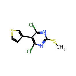 CSc1nc(Cl)c(-c2ccsc2)c(Cl)n1